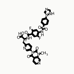 Cn1c(=O)n(-c2ccc(C[C@H](NC(=O)c3cc(F)c(NS(=O)(=O)c4ccc(N5C=NCN5)cc4)cc3F)C(=O)O)nc2)c(=O)c2ccncc21